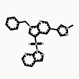 Cn1cc(-c2cnc3c(c2)c(S(=O)(=O)n2ncc4cccnc42)cn3Cc2ccccc2)cn1